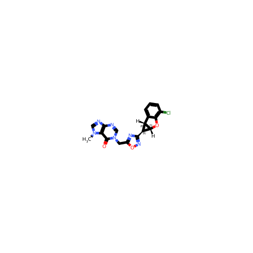 Cn1cnc2ncn(Cc3nc([C@@H]4[C@H]5Oc6c(Cl)cccc6[C@H]54)no3)c(=O)c21